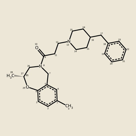 Cc1ccc2c(c1)CN(C(=O)CCN1CCC(Cc3ccccc3)CC1)C[C@@H](C)O2